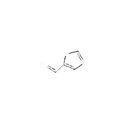 [CH]=Cc1cncs1